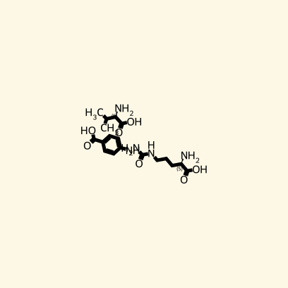 CC(C)[C@H](N)C(=O)O.NC(=O)NCCC[C@H](N)C(=O)O.Nc1ccc(C(=O)O)cc1